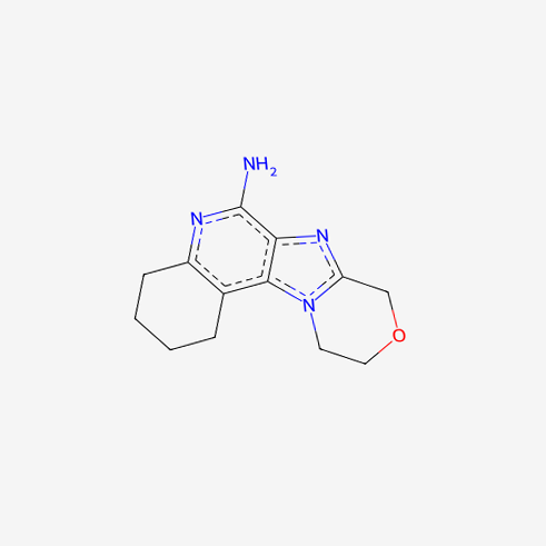 Nc1nc2c(c3c1nc1n3CCOC1)CCCC2